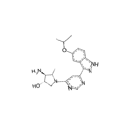 CC(C)Oc1ccc2[nH]nc(-c3cc(N4C[C@H](O)[C@@H](N)C4C)ncn3)c2c1